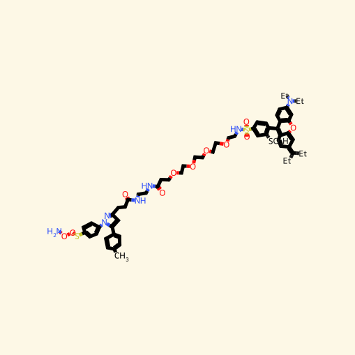 CCC(CC)=c1ccc2c(c1)Oc1cc(N(CC)CC)ccc1C=2c1ccc(S(=O)(=O)NCCOCCOCCOCCOCCC(=O)NCCNC(=O)CCc2cc(-c3ccc(C)cc3)n(-c3ccc(SOON)cc3)n2)cc1S(=O)(=O)O